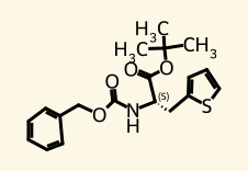 CC(C)(C)OC(=O)[C@H](Cc1cccs1)NC(=O)OCc1ccccc1